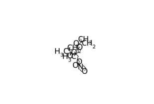 C=C(C)C(=O)OCCC(C)(CCOC(=O)N1CCOCC1)OC(=O)C(=C)C